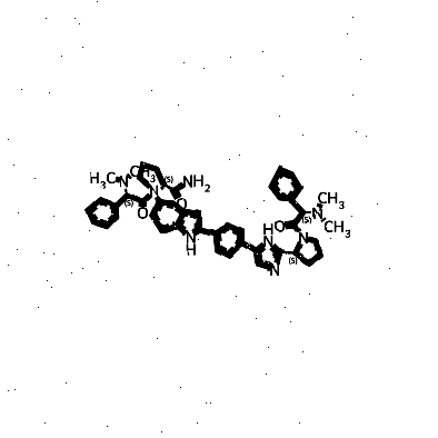 CN(C)[C@H](C(=O)N1CCC[C@H]1c1ncc(-c2ccc(-c3cc4cc([N+]5(C(=O)[C@H](c6ccccc6)N(C)C)CCC[C@H]5C(N)=O)ccc4[nH]3)cc2)[nH]1)c1ccccc1